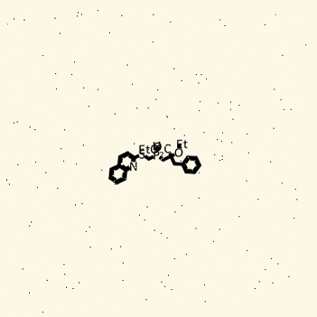 CCOC(=O)C(Cc1ccccc1)(C[PH](=O)CSc1ccc2ccccc2n1)OCC